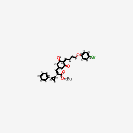 CC(C)(C)OC(=O)/C(=C\C1CC(=O)C(=CCCCOc2ccc(Br)cc2)C(=O)C1)[C@@H]1C[C@H]1c1ccccc1